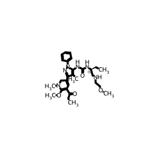 CCC(=O)C1=C(OC)N(C)CC(c2nn(-c3ccccc3)c(NC(=O)N[C@@H](CC)CNCCOC)c2C)=C1